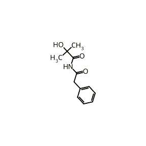 CC(C)(O)C(=O)NC(=O)Cc1ccccc1